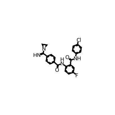 N=C(c1ccc(C(=O)Nc2ccc(F)cc2C(=O)Nc2ccc(Cl)cc2)cc1)N1CC1